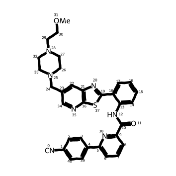 [C-]#[N+]c1ccc(-c2cccc(C(=O)Nc3ccccc3-c3nc4cc(CN5CCN(CCOC)CC5)cnc4s3)n2)cc1